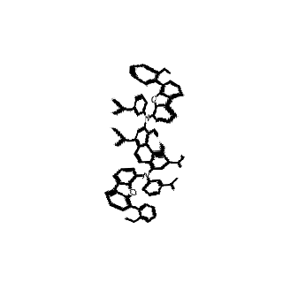 C=Cc1c(N(c2cccc(C(C)C)c2)c2cccc3c2oc2c(-c4ccccc4CC)cccc23)cc(C(C)C)c2ccc3c(N(c4cccc(C(C)C)c4)c4cccc5c4oc4c(-c6ccccc6CC)cccc45)cc(C(C)C)c(C)c3c12